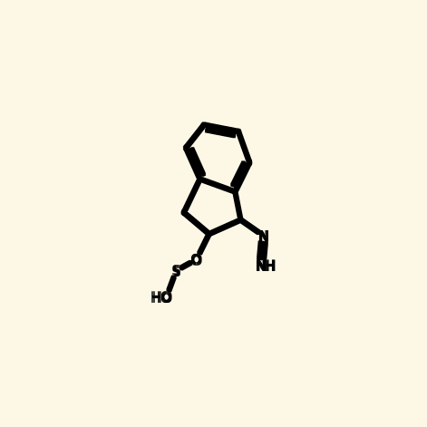 N=NC1c2ccccc2CC1OSO